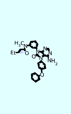 CC/C=C/C(=O)N(C)c1cccc(-n2c(=O)n(-c3ccc(Oc4ccccc4)cc3)c3c(N)ncnc32)c1